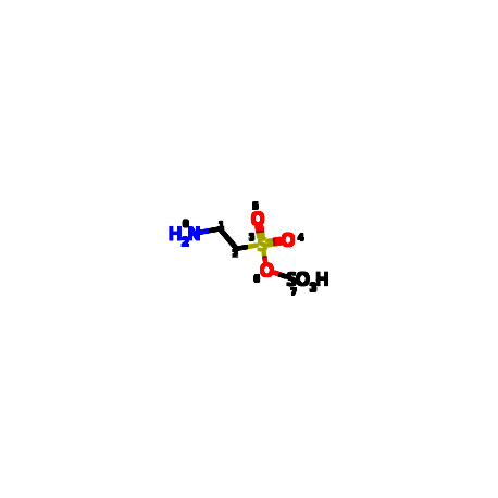 NCCS(=O)(=O)OS(=O)(=O)O